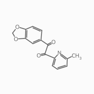 Cc1cccc(C(=O)C(=O)c2ccc3c(c2)OCO3)n1